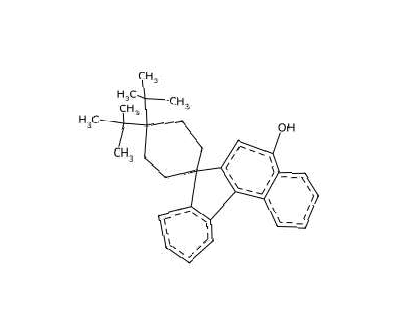 CC(C)(C)C1(C(C)(C)C)CCC2(CC1)c1ccccc1-c1c2cc(O)c2ccccc12